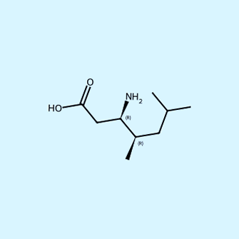 CC(C)C[C@@H](C)[C@H](N)CC(=O)O